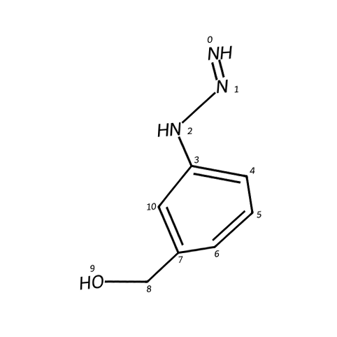 N=NNc1cccc(CO)c1